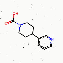 O=C(O)N1CCC(c2cccnc2)CC1